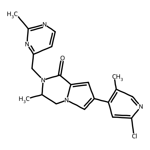 Cc1nccc(CN2C(=O)c3cc(-c4cc(Cl)ncc4C)cn3CC2C)n1